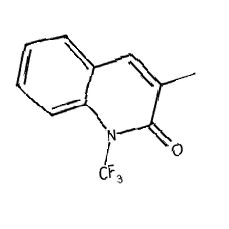 Cc1cc2ccccc2n(C(F)(F)F)c1=O